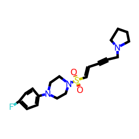 O=S(=O)(C=CC#CCN1CCCC1)N1CCN(c2ccc(F)cc2)CC1